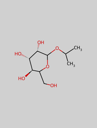 CC(C)OC1OC(CO)[C@@H](O)[C@H](O)[C@@H]1O